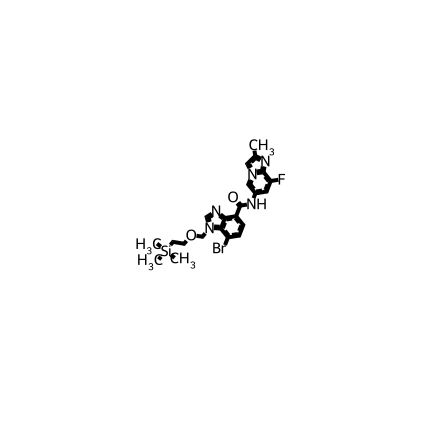 Cc1cn2cc(NC(=O)c3ccc(Br)c4c3ncn4COCC[Si](C)(C)C)cc(F)c2n1